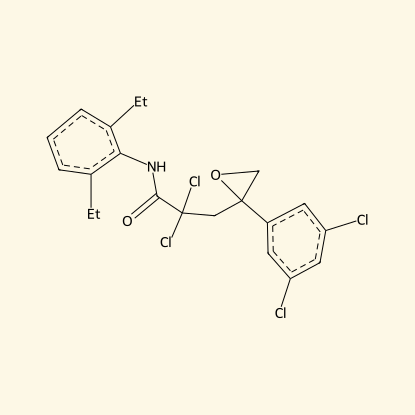 CCc1cccc(CC)c1NC(=O)C(Cl)(Cl)CC1(c2cc(Cl)cc(Cl)c2)CO1